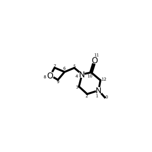 CN1CCN(CC2COC2)C(=O)C1